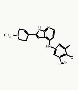 COc1cc(Nc2ccnc3[nH]c(C4=CCN(C(=O)O)CC4)cc23)cc(C)c1Cl